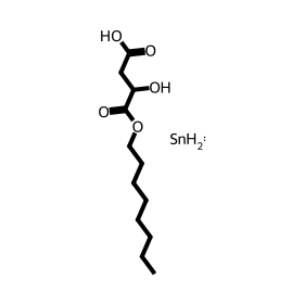 CCCCCCCCOC(=O)C(O)CC(=O)O.[SnH2]